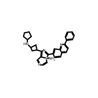 N[N+]12C=CN=CC1=C(C1CC(NC3CCCC3)C1)N=C2c1ccc2ccc(-c3ccccc3)nc2c1